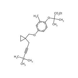 CCOC(=O)C(C)(C)Oc1ccc(OCC2(CC#C[Si](C)(C)C)CC2)cc1C